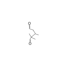 CC(CC=O)C(C)(C)C=O